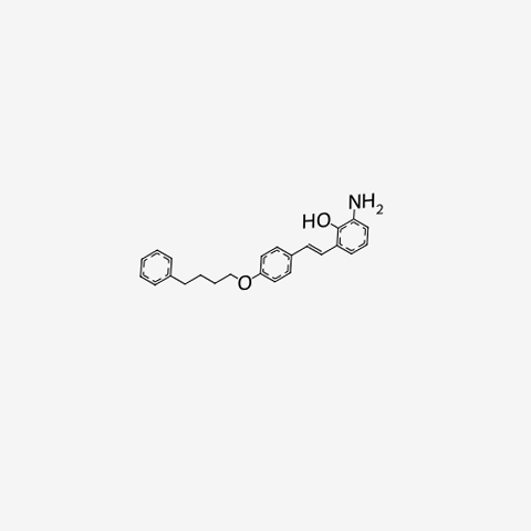 Nc1cccc(C=Cc2ccc(OCCCCc3ccccc3)cc2)c1O